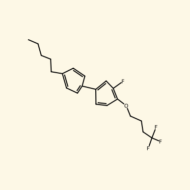 CCCCCc1ccc(-c2ccc(OCCCC(F)(F)F)c(F)c2)cc1